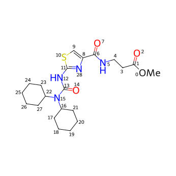 COC(=O)CCNC(=O)c1csc(NC(=O)N(C2CCCCC2)C2CCCCC2)n1